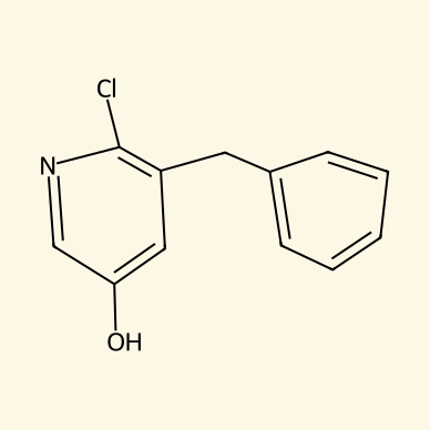 Oc1cnc(Cl)c(Cc2ccccc2)c1